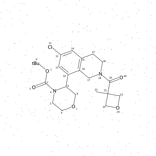 CC(C)(C)OC(=O)N1CCOCC1c1cc(Cl)cc2c1CN(C(=O)C1(C)COC1)CC2